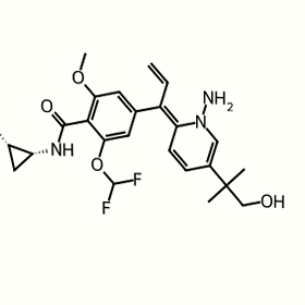 C=C/C(=C1/C=CC(C(C)(C)CO)=CN1N)c1cc(OC)c(C(=O)N[C@@H]2C[C@@H]2F)c(OC(F)F)c1